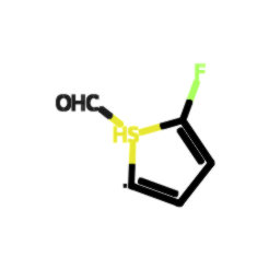 O=C[SH]1[C]=CC=C1F